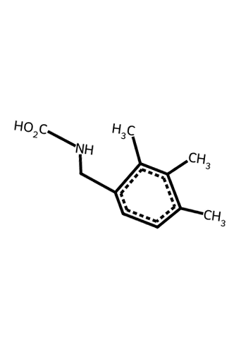 Cc1ccc(CNC(=O)O)c(C)c1C